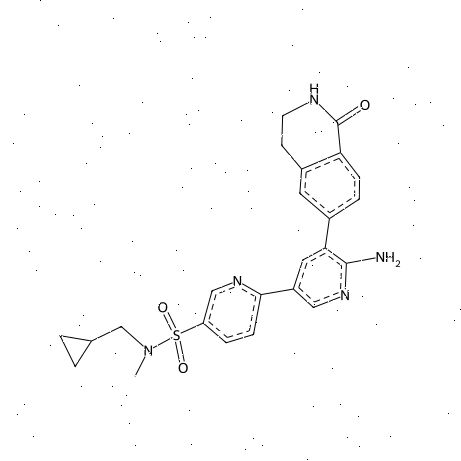 CN(CC1CC1)S(=O)(=O)c1ccc(-c2cnc(N)c(-c3ccc4c(c3)CCNC4=O)c2)nc1